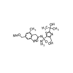 COCc1cc(C)c(CC(=O)N=S(N)(=O)c2sc(C(C)(C)O)nc2CO)c(C(C)C)c1